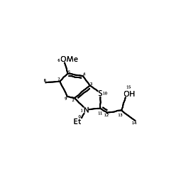 CCN1C2=C(C=C(OC)C(C)C2)S/C1=C\C(C)O